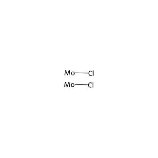 [Cl][Mo].[Cl][Mo]